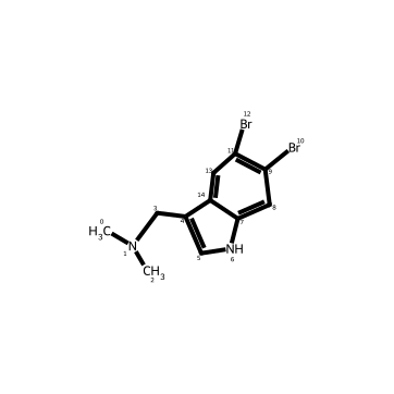 CN(C)Cc1c[nH]c2cc(Br)c(Br)cc12